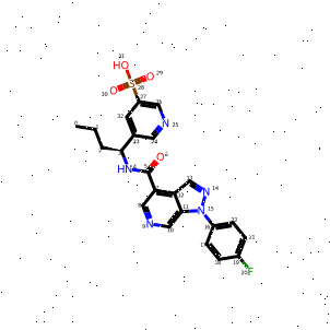 CCC[C@H](NC(=O)c1cncc2c1cnn2-c1ccc(F)cc1)c1cncc(S(=O)(=O)O)c1